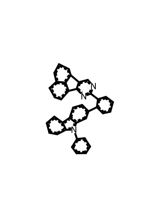 c1ccc(-n2c3ccccc3c3ccc(-c4ccccc4-c4ncc5c(n4)-c4cccc6cccc-5c46)cc32)cc1